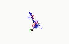 CCN1C(=O)[C@@H](CNc2ccc(NC(=O)CCN3CCN(C)CC3)cc2)S/C1=C(/N)C(=O)NCCc1ccc(F)cc1